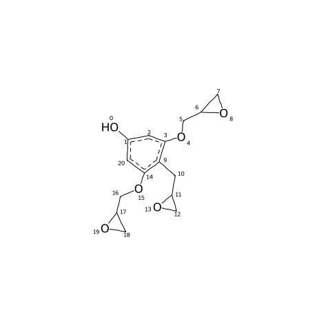 Oc1cc(OCC2CO2)c(CC2CO2)c(OCC2CO2)c1